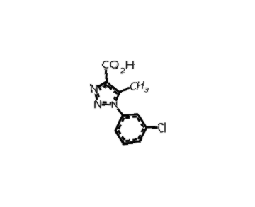 Cc1c(C(=O)O)nnn1-c1cccc(Cl)c1